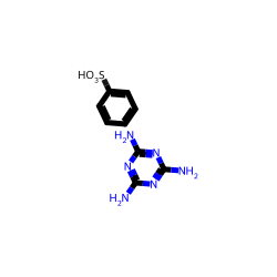 Nc1nc(N)nc(N)n1.O=S(=O)(O)c1ccccc1